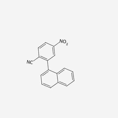 N#Cc1ccc([N+](=O)[O-])cc1-c1cccc2ccccc12